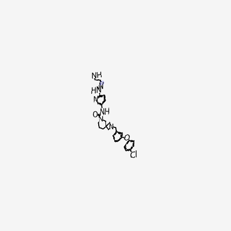 N=C/C=N\Nc1ccc(NC(=O)N2CCCC3(CN(Cc4cccc(Oc5ccc(Cl)cc5)c4)C3)C2)cn1